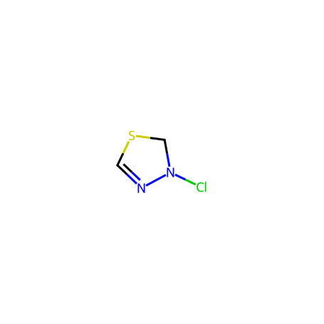 ClN1CSC=N1